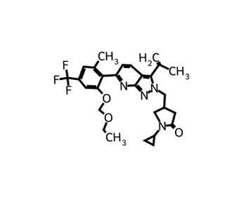 C=C(C)c1c2ccc(-c3c(C)cc(C(F)(F)F)cc3OCOCC)nc2nn1CC1CC(=O)N(C2CC2)C1